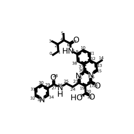 CCC(C)C(C)C(=O)Nc1ccc2c(C)cn3c(=O)c(C(=O)O)c(CCNC(=O)c4cccnc4)nc3c2c1